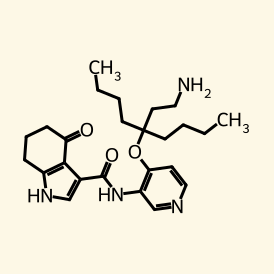 CCCCC(CCN)(CCCC)Oc1ccncc1NC(=O)c1c[nH]c2c1C(=O)CCC2